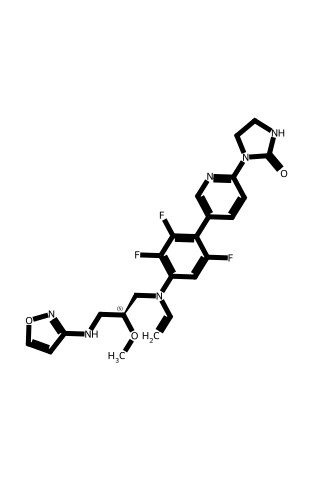 C=CN(C[C@H](CNc1ccon1)OC)c1cc(F)c(-c2ccc(N3CCNC3=O)nc2)c(F)c1F